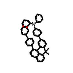 CC1(C)c2ccc(-c3ccc(N(c4ccccc4)c4ccccc4)cc3)cc2-c2c(-c3ccc(-c4ccccc4)cc3)ccc3cccc1c23